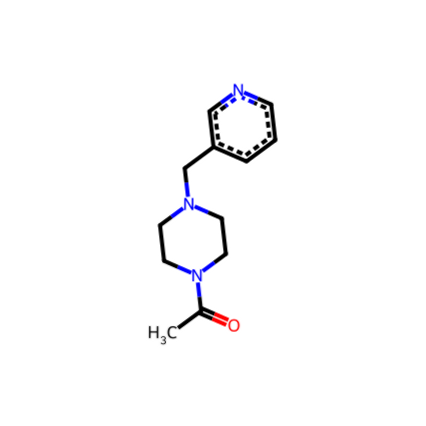 CC(=O)N1CCN(Cc2cccnc2)CC1